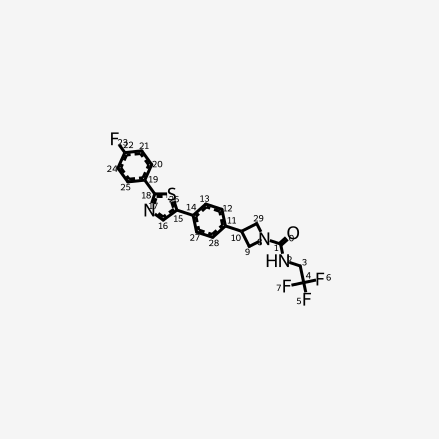 O=C(NCC(F)(F)F)N1CC(c2ccc(-c3cnc(-c4ccc(F)cc4)s3)cc2)C1